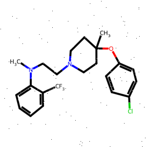 CN(CCN1CCC(C)(Oc2ccc(Cl)cc2)CC1)c1ccccc1C(F)(F)F